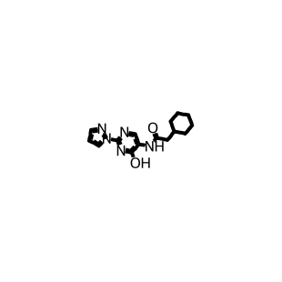 O=C(CC1CCCCC1)Nc1cnc(-n2cccn2)nc1O